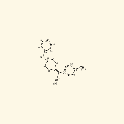 Cc1ccc(C(C#N)=C2CCN(Cc3ccccc3)CC2)cc1